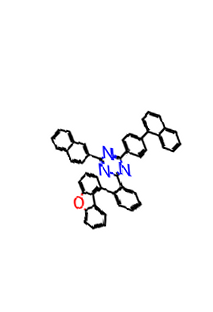 c1ccc(-c2cccc3oc4ccccc4c23)c(-c2nc(-c3ccc(-c4cccc5ccccc45)cc3)nc(-c3ccc4ccccc4c3)n2)c1